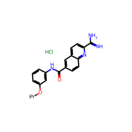 CC(C)Oc1cccc(NC(=O)c2ccc3nc(C(=N)N)ccc3c2)c1.Cl